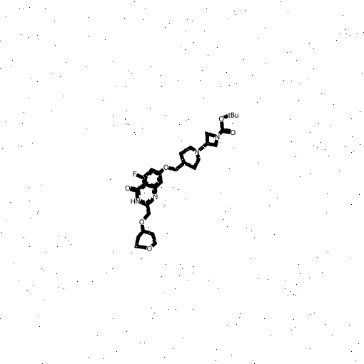 CC(C)(C)OC(=O)N1CC(N2CCC(COc3cc(F)c4c(=O)[nH]c(COC5CCOCC5)nc4c3)CC2)C1